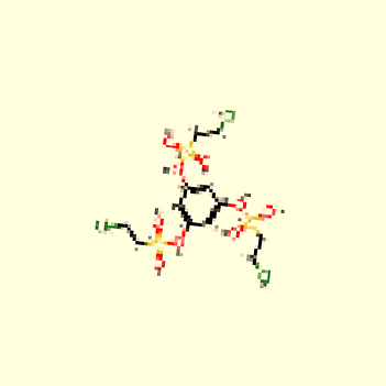 O=S(=O)(CCCl)Oc1cc(OS(=O)(=O)CCCl)cc(OS(=O)(=O)CCCl)c1